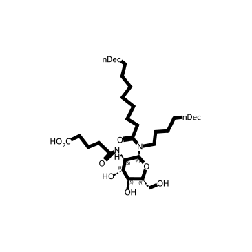 CCCCCCCCCCCCCCCCCC(=O)N(CCCCCCCCCCCCCC)[C@@H]1O[C@H](CO)[C@@H](O)[C@H](O)[C@@H]1NC(=O)CCCC(=O)O